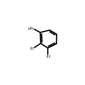 CCCc1cccc(CC)c1CC